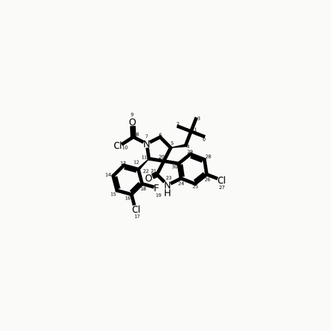 CC(C)(C)C[C@@H]1CN(C(=O)Cl)[C@H](c2cccc(Cl)c2F)C12C(=O)Nc1cc(Cl)ccc12